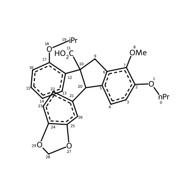 CCCOc1ccc2c(c1OC)CC(C(=O)O)(c1ccccc1OC(C)C)C2c1ccc2c(c1)OCO2